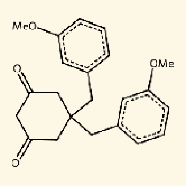 COc1cccc(CC2(Cc3cccc(OC)c3)CC(=O)CC(=O)C2)c1